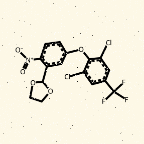 O=[N+]([O-])c1ccc(Oc2c(Cl)cc(C(F)(F)F)cc2Cl)cc1C1OCCO1